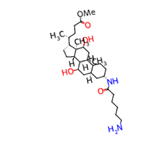 COC(=O)CC[C@@H](C)[C@H]1CC[C@H]2[C@@H]3[C@H](O)C[C@@H]4C[C@@H](NC(=O)CCCCCN)CC[C@]4(C)[C@H]3C[C@H](O)[C@]12C